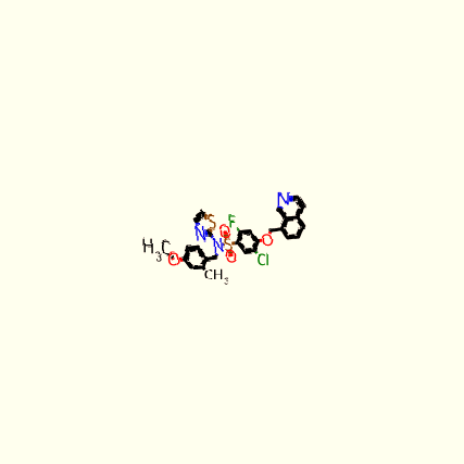 COc1ccc(CN(c2nccs2)S(=O)(=O)c2cc(Cl)c(OCc3cccc4ccncc34)cc2F)c(C)c1